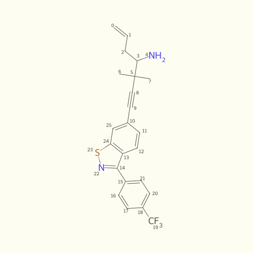 C=CCC(N)C(C)(C)C#Cc1ccc2c(-c3ccc(C(F)(F)F)cc3)nsc2c1